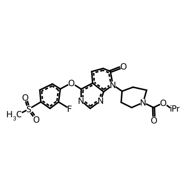 CC(C)OC(=O)N1CCC(n2c(=O)ccc3c(Oc4ccc(S(C)(=O)=O)cc4F)ncnc32)CC1